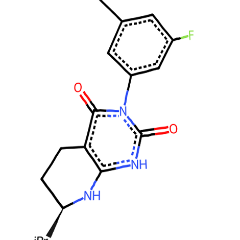 Cc1cc(F)cc(-n2c(=O)[nH]c3c(c2=O)CC[C@H](C(C)C)N3)c1